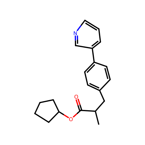 CC(Cc1ccc(-c2cccnc2)cc1)C(=O)OC1CCCC1